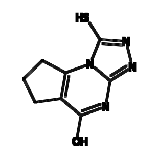 Oc1nc2nnc(S)n2c2c1CCC2